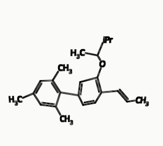 C/C=C/c1ccc(-c2c(C)cc(C)cc2C)cc1OC(C)C(C)C